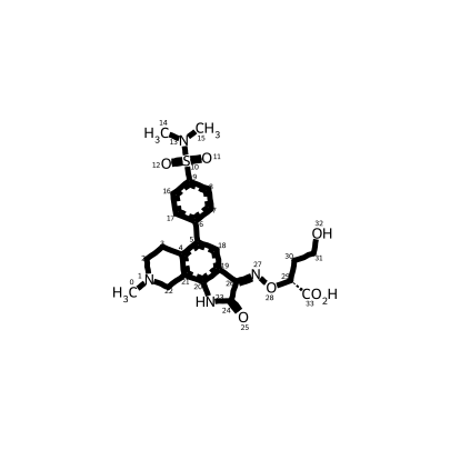 CN1CCc2c(-c3ccc(S(=O)(=O)N(C)C)cc3)cc3c(c2C1)NC(=O)/C3=N\O[C@H](CCO)C(=O)O